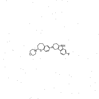 Fc1ccc2c3c([nH]c2c1)CCN(c1ccc2c(c1)CCCC(N1CCOCC1)S2)C3